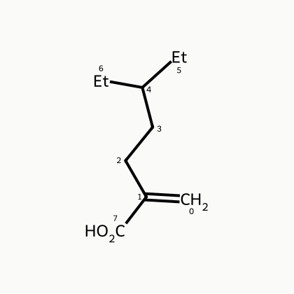 C=C(CCC(CC)CC)C(=O)O